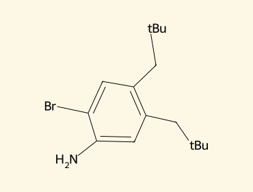 CC(C)(C)Cc1cc(N)c(Br)cc1CC(C)(C)C